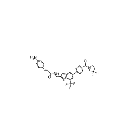 Nc1ccc(/C=C/C(=O)NCc2cc3cc(-c4ccc(C(=O)N5CCC(F)(F)C5)cc4)cc(C(F)(F)F)c3s2)cn1